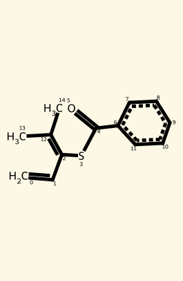 C=CC(SC(=O)c1ccccc1)=C(C)C